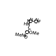 CNC(=O)c1ccc(C(C)CCNc2cc(-c3ccc(F)nc3)ncn2)c(OC)c1